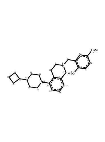 COc1ccc(OC)c(CN2CCc3c(ncnc3N3CCN(C4CCC4)CC3)C2)c1